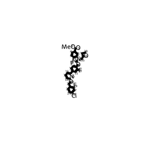 COC(=O)c1ccc2nc(Oc3c(F)cc(-c4cccc(OCc5ccc(Cl)cc5F)n4)cc3F)n(CC3CCO3)c2c1